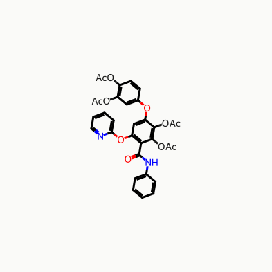 CC(=O)Oc1ccc(Oc2cc(Oc3ccccn3)c(C(=O)Nc3ccccc3)c(OC(C)=O)c2OC(C)=O)cc1OC(C)=O